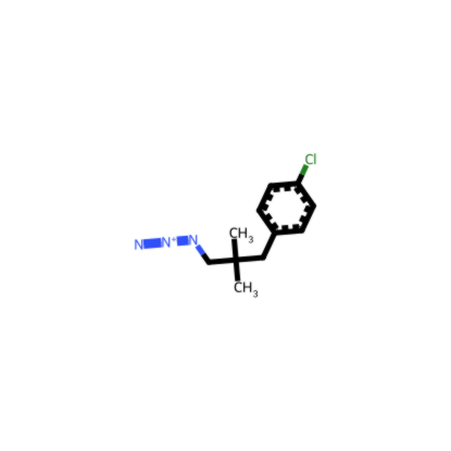 CC(C)(CN=[N+]=[N-])Cc1ccc(Cl)cc1